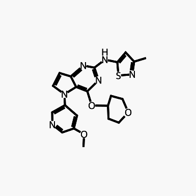 COc1cncc(-n2ccc3nc(Nc4cc(C)ns4)nc(OC4CCOCC4)c32)c1